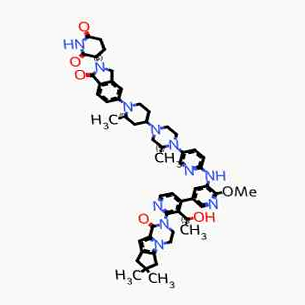 COc1ncc(-c2ccnc(N3CCn4c(cc5c4CC(C)(C)C5)C3=O)c2[C@H](C)O)cc1Nc1ccc(N2CCN(C3CCN(c4ccc5c(c4)CN([C@H]4CCC(=O)NC4=O)C5=O)[C@H](C)C3)C[C@@H]2C)cn1